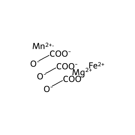 O=C([O-])[O-].O=C([O-])[O-].O=C([O-])[O-].[Fe+2].[Mg+2].[Mn+2]